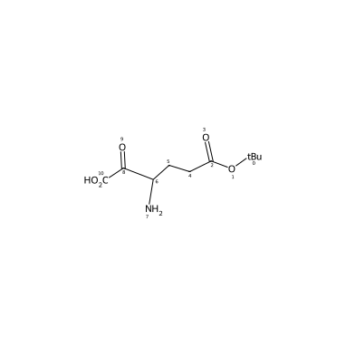 CC(C)(C)OC(=O)CCC(N)C(=O)C(=O)O